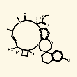 COC(=O)[C@]1(O)CC(=O)N(C)C[C@H](C)/C=C/[C@H](O)[C@@H]2CC[C@H]2CN2C[C@@]3(CCCc4cc(Cl)ccc43)COc3ccc1cc32